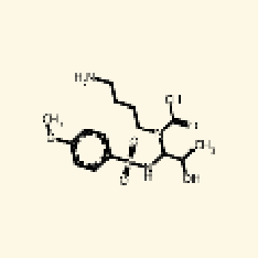 COc1ccc(S(=O)(=O)NC(C(C)O)N(CCCCN)C(=O)O)cc1